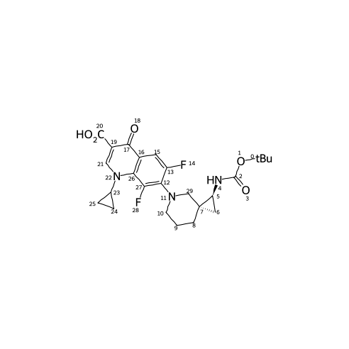 CC(C)(C)OC(=O)N[C@H]1C[C@@]12CCCN(c1c(F)cc3c(=O)c(C(=O)O)cn(C4CC4)c3c1F)C2